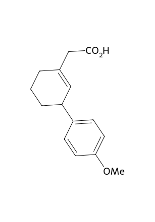 COc1ccc(C2C=C(CC(=O)O)CCC2)cc1